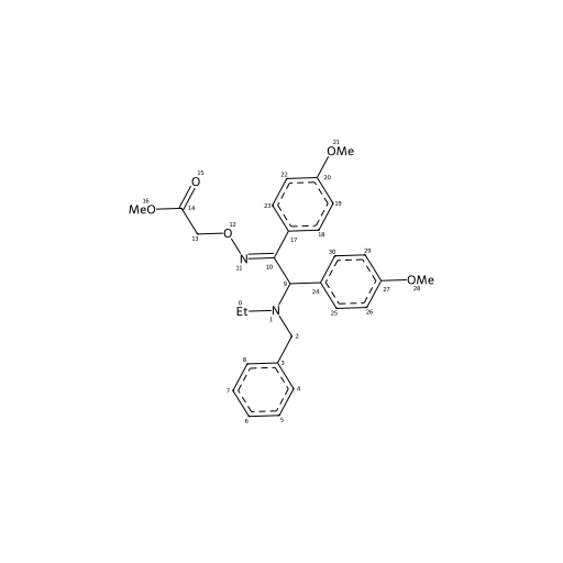 CCN(Cc1ccccc1)C(C(=NOCC(=O)OC)c1ccc(OC)cc1)c1ccc(OC)cc1